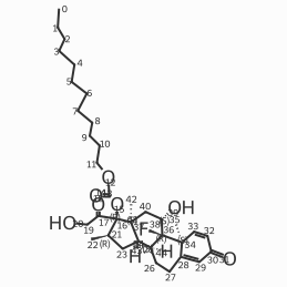 CCCCCCCCCCCCOC(=O)O[C@]1(C(=O)CO)[C@H](C)C[C@H]2[C@@H]3CCC4=CC(=O)C=C[C@]4(C)[C@@]3(F)[C@@H](O)C[C@@]21C